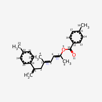 C=C(C/C(C)=C/C=C(\C)OC(=O)c1ccc(C)cc1)c1ccc(C)cc1